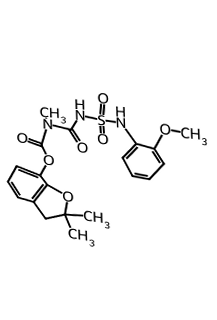 COc1ccccc1NS(=O)(=O)NC(=O)N(C)C(=O)Oc1cccc2c1OC(C)(C)C2